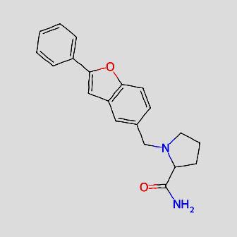 NC(=O)C1CCCN1Cc1ccc2oc(-c3ccccc3)cc2c1